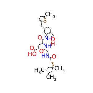 CCCC(C)(CCC)SCC(=O)NCC(=O)N[C@@H](CCC(=O)O)C(=O)Nc1cc(Cc2ccc(C)s2)ccc1CO